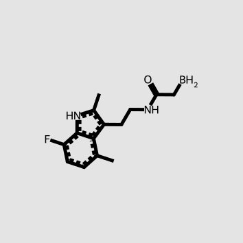 BCC(=O)NCCc1c(C)[nH]c2c(F)ccc(C)c12